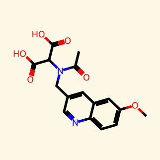 COc1ccc2ncc(CN(C(C)=O)C(C(=O)O)C(=O)O)cc2c1